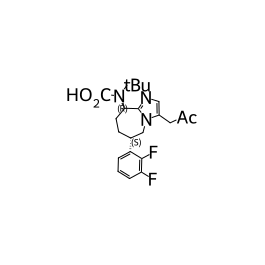 CC(=O)Cc1cnc2n1C[C@H](c1cccc(F)c1F)CC[C@H]2N(C(=O)O)C(C)(C)C